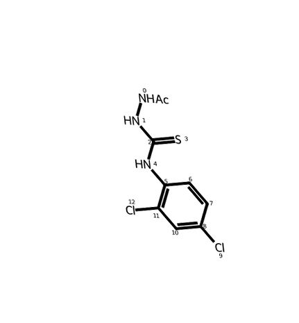 CC(=O)NNC(=S)Nc1ccc(Cl)cc1Cl